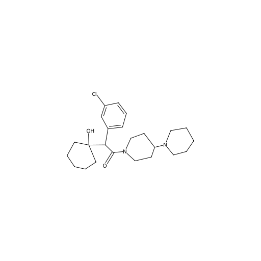 O=C(C(c1cccc(Cl)c1)C1(O)CCCCC1)N1CCC(N2CCCCC2)CC1